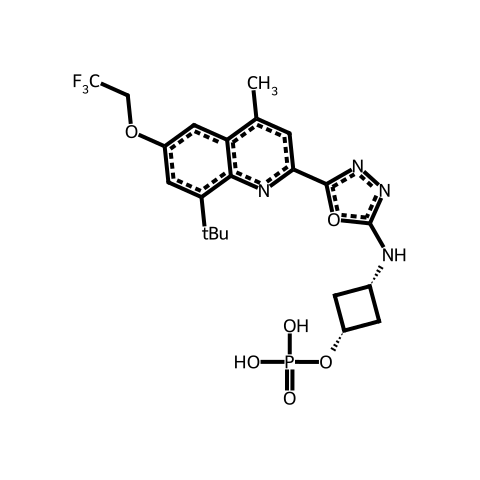 Cc1cc(-c2nnc(N[C@H]3C[C@@H](OP(=O)(O)O)C3)o2)nc2c(C(C)(C)C)cc(OCC(F)(F)F)cc12